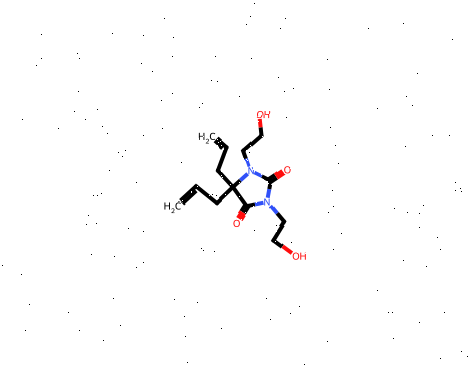 C=CCC1(CC=C)C(=O)N(CCO)C(=O)N1CCO